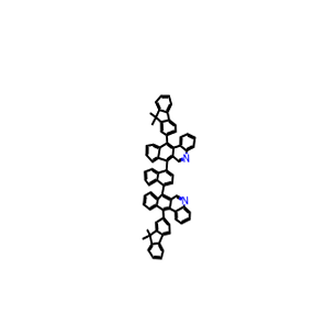 CC1(C)c2ccccc2-c2ccc(-c3c4ccccc4c(-c4ccc(-c5c6ccccc6c(-c6ccc7c(c6)C(C)(C)c6ccccc6-7)c6c5cnc5ccccc56)c5ccccc45)c4cnc5ccccc5c34)cc21